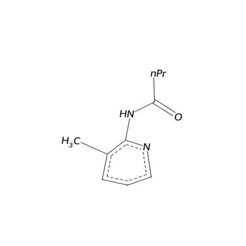 CCCC(=O)Nc1ncccc1C